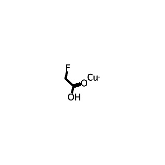 O=C(O)CF.[Cu]